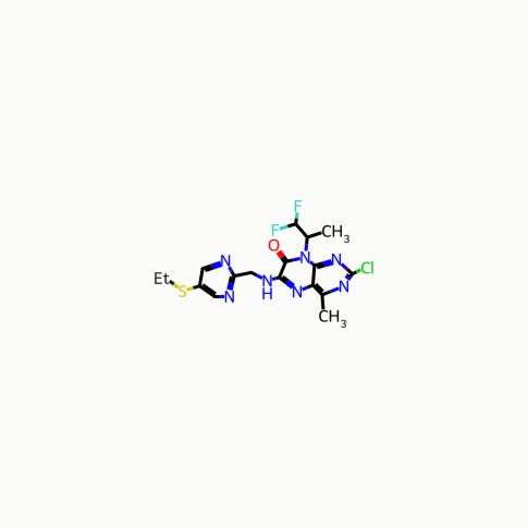 CCSc1cnc(CNc2nc3c(C)nc(Cl)nc3n(C(C)C(F)F)c2=O)nc1